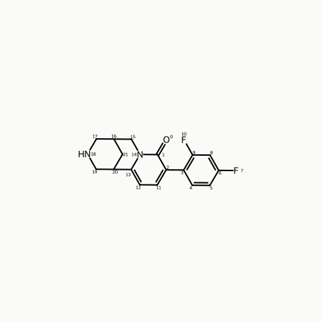 O=c1c(-c2ccc(F)cc2F)ccc2n1CC1CNCC2C1